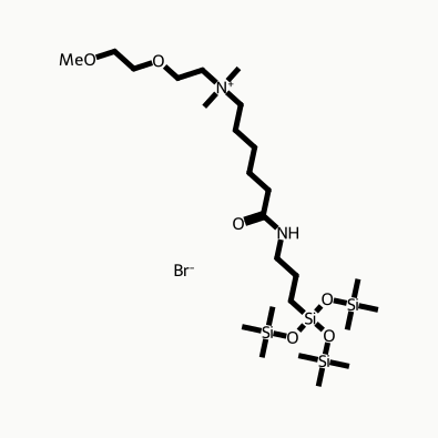 COCCOCC[N+](C)(C)CCCCCC(=O)NCCC[Si](O[Si](C)(C)C)(O[Si](C)(C)C)O[Si](C)(C)C.[Br-]